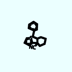 N#CC1(c2cccs2)CCCCC1Cc1ccccc1